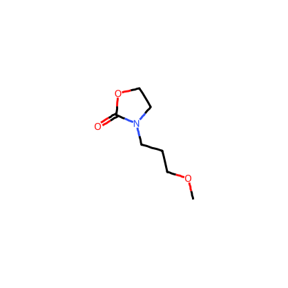 COCCCN1CCOC1=O